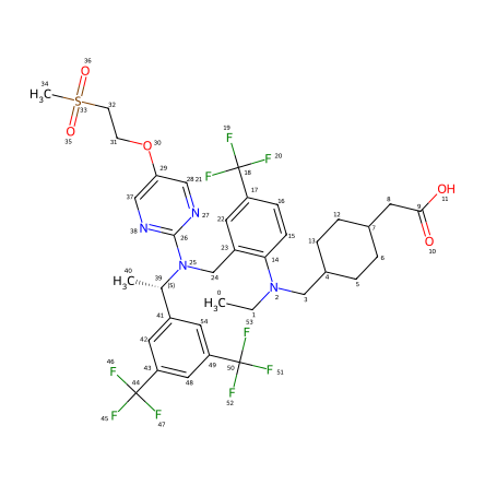 CCN(CC1CCC(CC(=O)O)CC1)c1ccc(C(F)(F)F)cc1CN(c1ncc(OCCS(C)(=O)=O)cn1)[C@@H](C)c1cc(C(F)(F)F)cc(C(F)(F)F)c1